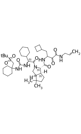 C=CCNC(=O)C(=O)C(CC1CCC1)NC(=O)[C@@H]1[C@H]2CCC(C)(C)[C@H]2CN1C(=O)[C@@H](NC(=O)NC1(CS(=O)(=O)C(C)(C)C)CCCCC1)C1CCCCC1